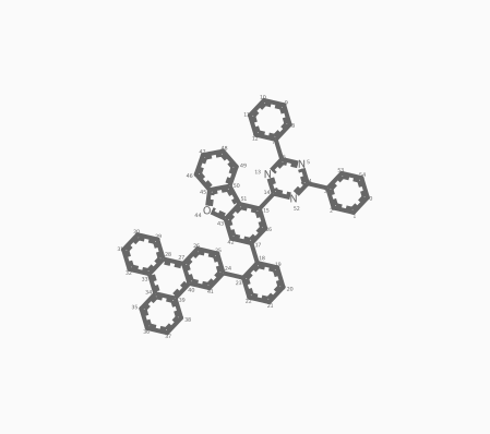 c1ccc(-c2nc(-c3ccccc3)nc(-c3cc(-c4ccccc4-c4ccc5c6ccccc6c6ccccc6c5c4)cc4oc5ccccc5c34)n2)cc1